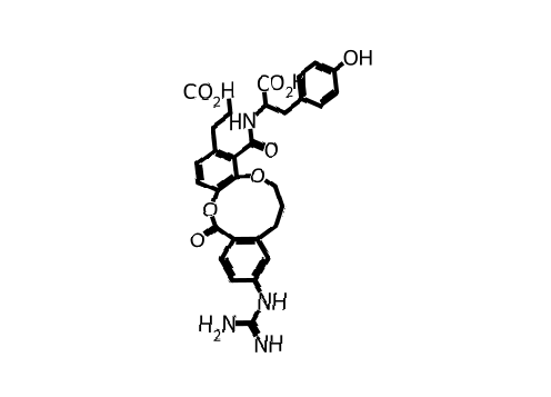 N=C(N)Nc1ccc2c(c1)CCCOc1c(ccc(CCC(=O)O)c1C(=O)NC(Cc1ccc(O)cc1)C(=O)O)OC2=O